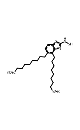 CCCCCCCCCCCCCCCCCCc1ccc2sc(NS)nc2c1CCCCCCCCCCCCCCCCCC